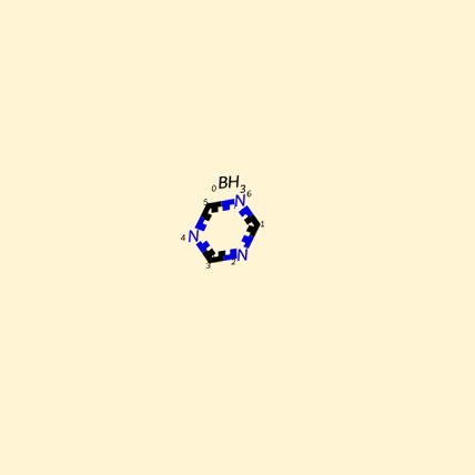 B.c1ncncn1